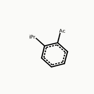 CC(=O)c1ccccc1C(C)C